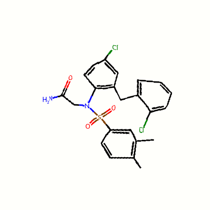 Cc1ccc(S(=O)(=O)N(CC(N)=O)c2ccc(Cl)cc2Cc2ccccc2Cl)cc1C